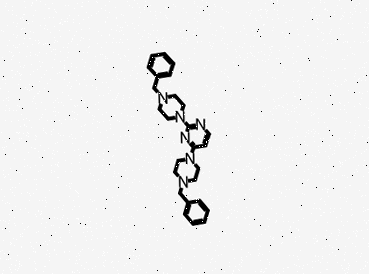 c1ccc(CN2CCN(c3ccnc(N4CCN(Cc5ccccc5)CC4)n3)CC2)cc1